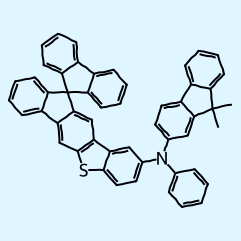 CC1(C)c2ccccc2-c2ccc(N(c3ccccc3)c3ccc4sc5cc6c(cc5c4c3)C3(c4ccccc4-c4ccccc43)c3ccccc3-6)cc21